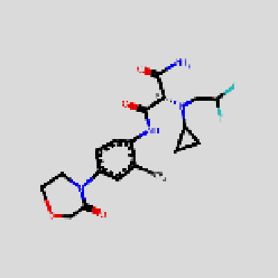 NC(=O)[C@@H](C(=O)Nc1ccc(N2CCOCC2=O)cc1C(F)(F)F)N(CC(F)F)C1CC1